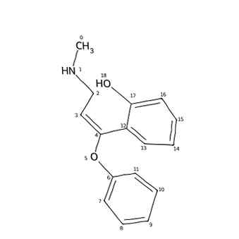 CNCC=C(Oc1ccccc1)c1ccccc1O